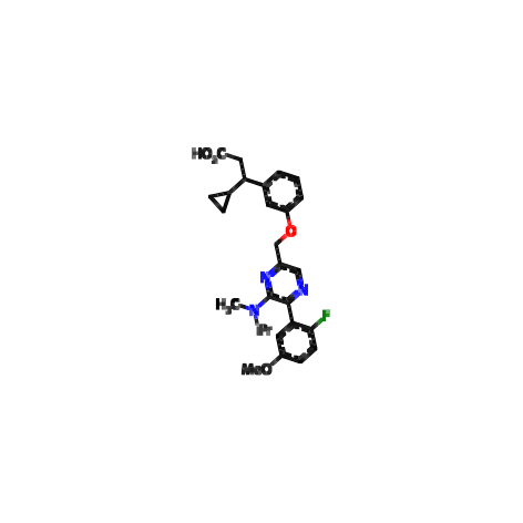 COc1ccc(F)c(-c2ncc(COc3cccc(C(CC(=O)O)C4CC4)c3)nc2N(C)C(C)C)c1